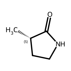 C[C@H]1CCNC1=O